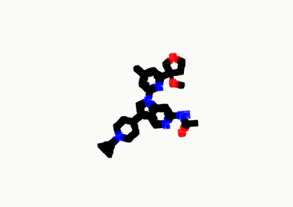 CO[C@@]1(c2cc(C)cc(-n3cc(C4CCN(C5CC5)CC4)c4cnc(NC(C)=O)cc43)n2)CCOC1